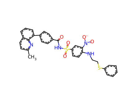 Cc1ccc2cccc(-c3ccc(C(=O)NS(=O)(=O)c4ccc(NCCSc5ccccc5)c([N+](=O)[O-])c4)cc3)c2n1